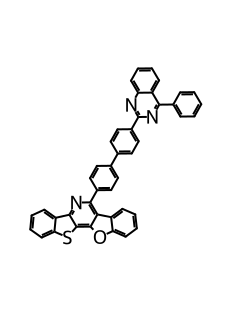 c1ccc(-c2nc(-c3ccc(-c4ccc(-c5nc6c7ccccc7sc6c6oc7ccccc7c56)cc4)cc3)nc3ccccc23)cc1